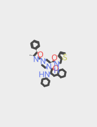 C[C@H]1N=C(N2CCN(C(=O)C(CC3CCCCC3)NC3CCCCC3)[C@H](C(=O)NCc3cccs3)C2)O[C@H]1c1ccccc1